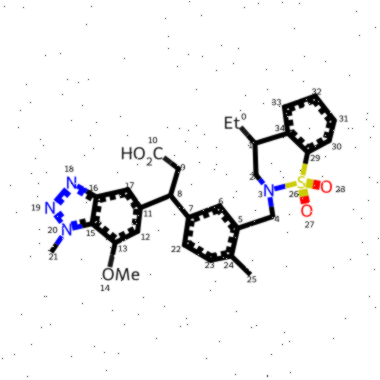 CCC1CN(Cc2cc(C(CC(=O)O)c3cc(OC)c4c(c3)nnn4C)ccc2C)S(=O)(=O)c2ccccc21